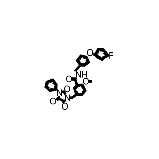 COc1ccc(CN2C(=O)C(=O)N(c3ccccc3)C2=O)cc1C(=O)NCc1ccc(Oc2ccc(F)cc2)cc1